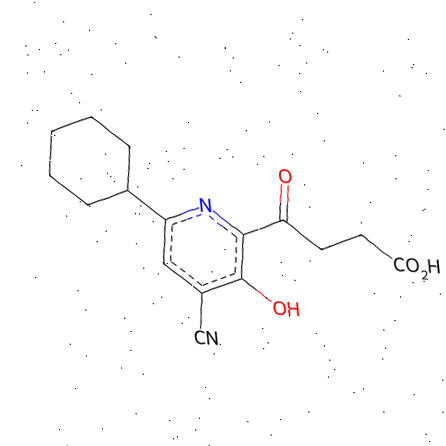 N#Cc1cc(C2CCCCC2)nc(C(=O)CCC(=O)O)c1O